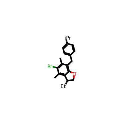 CCC1COc2c(Cc3ccc(C(C)C)cc3)c(C)c(Br)c(C)c21